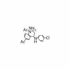 CC(=O)c1ccc2c(c1)C(Nc1ccc(Cl)cc1)CC(C)[N+]2(N)C(C)=O